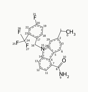 CCc1c[c]c2c3c(C(N)=O)cccc3n(Cc3ccc(F)cc3C(F)(F)F)c2c1